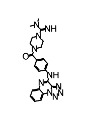 CN(C)C(=N)N1CCN(C(=O)c2ccc(Nc3nc4ccccc4n4nnnc34)cc2)CC1